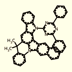 CC1(C)c2ccccc2-n2c3cc4ccccc4cc3c3c2c1cc1c2ccccc2n(-c2nc(-c4ccccc4)nc(-c4ccccc4)n2)c13